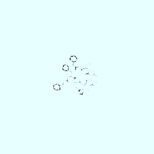 CC(C)C[C@H](NC(=O)[C@H](Cc1c[nH]cn1)NC(=O)[C@H](Cc1ccccc1)NC(=O)OCc1ccccc1)C(=O)N[C@H](C(=O)N[C@@H](C)C(=O)NC(=O)Cc1ccccn1)C(C)C